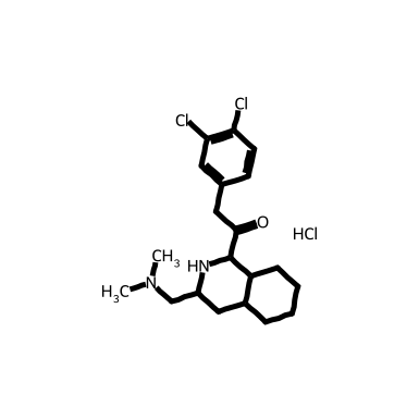 CN(C)CC1CC2CCCCC2C(C(=O)Cc2ccc(Cl)c(Cl)c2)N1.Cl